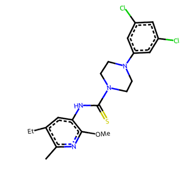 CCc1cc(NC(=S)N2CCN(c3cc(Cl)cc(Cl)c3)CC2)c(OC)nc1C